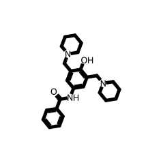 O=C(Nc1cc(CN2CCCCC2)c(O)c(CN2CCCCC2)c1)c1ccccc1